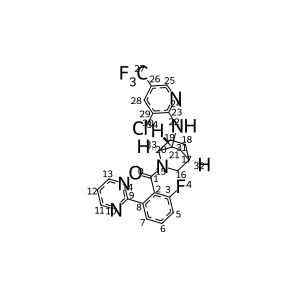 O=C(c1c(F)cccc1-c1ncccn1)N1C[C@@H]2CC[C@H]1[C@H](Nc1ncc(C(F)(F)F)cc1Cl)C2